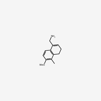 COc1ccc2c(c1C)CCC=C2CN